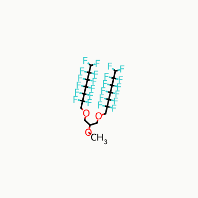 COC(COCC(F)(F)C(F)(F)C(F)(F)C(F)(F)C(F)(F)C(F)F)COCC(F)(F)C(F)(F)C(F)(F)C(F)(F)C(F)(F)C(F)F